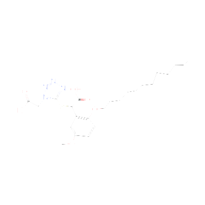 CCCCCCCCCCCCOc1ccc(OC)cc1C(Sc1nnnn1CC(=O)O)C(=O)O